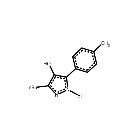 CCCCc1nn(CC)c(-c2ccc(C)cc2)c1O